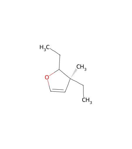 CCC1OC=C[C@]1(C)CC